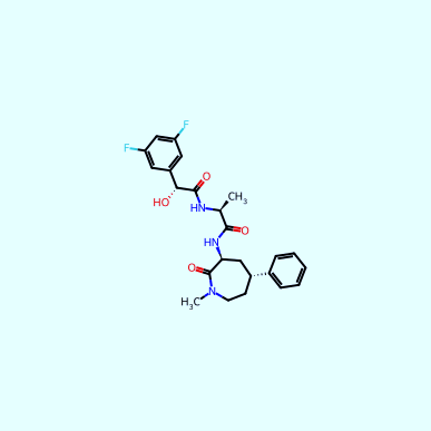 C[C@H](NC(=O)[C@H](O)c1cc(F)cc(F)c1)C(=O)N[C@H]1C[C@H](c2ccccc2)CCN(C)C1=O